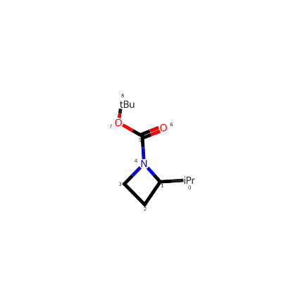 CC(C)C1CCN1C(=O)OC(C)(C)C